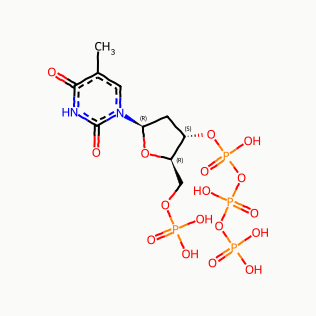 Cc1cn([C@H]2C[C@H](OP(=O)(O)OP(=O)(O)OP(=O)(O)O)[C@@H](COP(=O)(O)O)O2)c(=O)[nH]c1=O